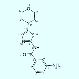 Nc1cccc(C(=O)Nc2ncc(N3CCOCC3)s2)c1